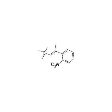 CC(=C[Si](C)(C)C)c1ccccc1[N+](=O)[O-]